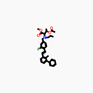 CCCN(Cc1ccc(/C=C/c2cccc(-c3ccccc3)c2C)c(F)c1)C(C(=O)OC)C(C)OC(C)=O